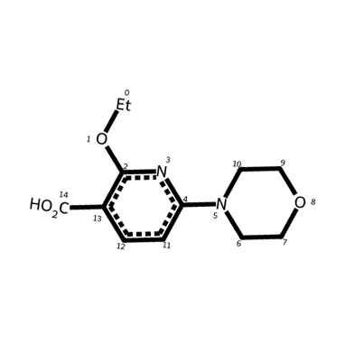 CCOc1nc(N2CCOCC2)ccc1C(=O)O